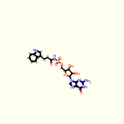 Nc1nc2c(ncn2C2OC(COS(=O)(=O)NC(=O)CCc3c[nH]c4ccccc34)C(O)C2O)c(=O)[nH]1